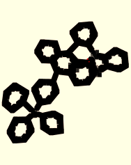 CC(C)c1nc2ccccc2n1-c1ccccc1-c1c2ccccc2c(-c2ccc(S(c3ccccc3)(c3ccccc3)c3ccccc3)cc2)c2ccccc12